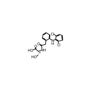 O=C(Cc1ccccc1Nc1c(Cl)cccc1Cl)N[C@H](CO)C(=O)O